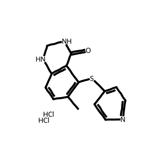 Cc1ccc2c(c1Sc1ccncc1)C(=O)NCN2.Cl.Cl